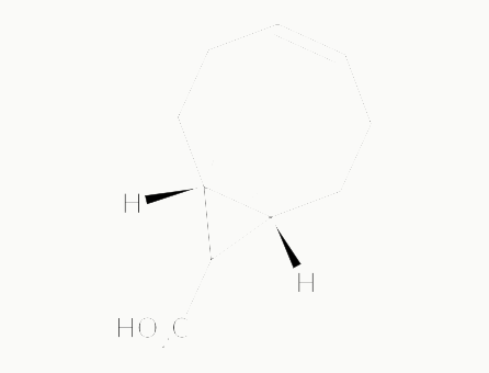 O=C(O)C1[C@H]2CCC=CCC[C@@H]12